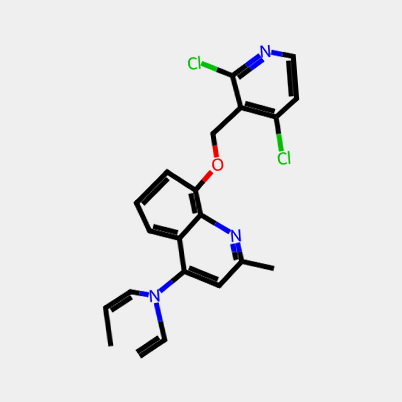 C=CN(/C=C\C)c1cc(C)nc2c(OCc3c(Cl)ccnc3Cl)cccc12